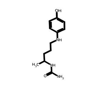 CC(CCCNc1ccc(O)cc1)NC(N)=O